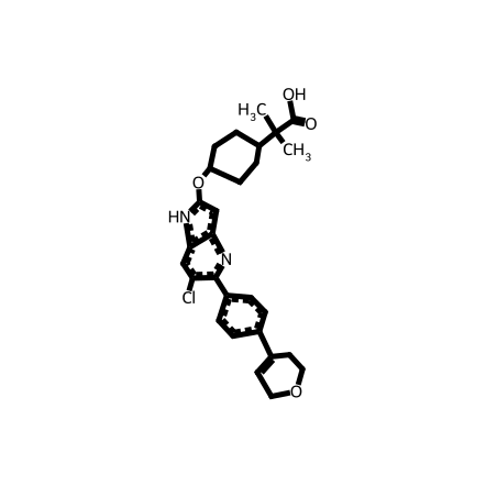 CC(C)(C(=O)O)C1CCC(Oc2cc3nc(-c4ccc(C5=CCOCC5)cc4)c(Cl)cc3[nH]2)CC1